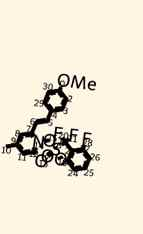 COc1ccc(C=Cc2cc(C)cc(=O)n2OS(=O)(=O)C(F)(F)c2ccccc2F)cc1